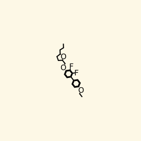 CCCC1CCC(COc2ccc(-c3ccc(OCC)cc3)c(F)c2F)O1